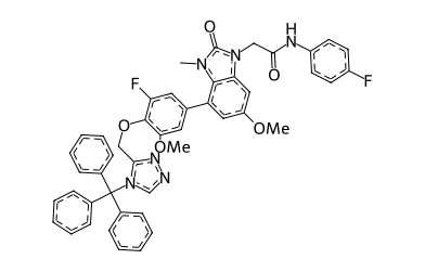 COc1cc(-c2cc(F)c(OCc3nncn3C(c3ccccc3)(c3ccccc3)c3ccccc3)c(OC)c2)c2c(c1)n(CC(=O)Nc1ccc(F)cc1)c(=O)n2C